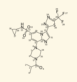 CC(C)C(=O)N1CCN(c2cc(S(=O)(=O)NC3CC3)cn3c(-c4nnc(C(F)(F)F)s4)cnc23)CC1